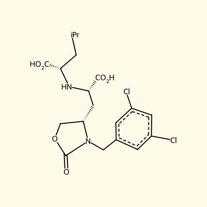 CC(C)C[C@H](N[C@@H](C[C@H]1COC(=O)N1Cc1cc(Cl)cc(Cl)c1)C(=O)O)C(=O)O